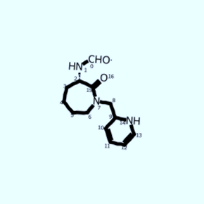 O=[C]N[C@H]1CCCCN(CC2C=CC=CN2)C1=O